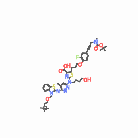 Cc1cc(N(CCCCO)c2nc(C(=O)O)c(CCCOc3ccc(C#CCN(C)C(=O)OC(C)(C)C)cc3F)s2)nnc1/N=c1\sc2ccccc2n1COCC[Si](C)(C)C